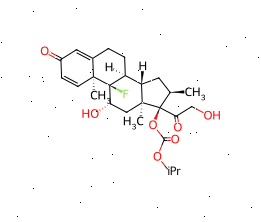 CC(C)OC(=O)O[C@]1(C(=O)CO)[C@H](C)C[C@H]2[C@@H]3CCC4=CC(=O)C=C[C@]4(C)[C@@]3(F)[C@@H](O)C[C@@]21C